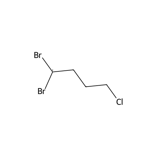 ClCCC[C](Br)Br